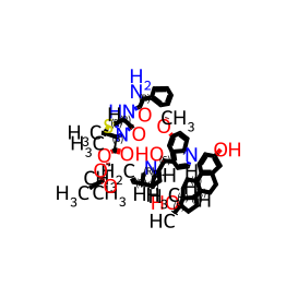 C#C[C@]1(O)CC[C@H]2[C@@H]3CCc4cc(O)ccc4[C@H]3CC[C@@]21C.C=C[C@H]1C[N@]2CC[C@H]1C[C@@H]2[C@@H](O)c1ccnc2ccc(OC)cc12.CC(C)(C)C(=O)OCOC(=O)[C@@H]1N2C(=O)[C@@H](NC(=O)[C@H](N)c3ccccc3)[C@H]2SC1(C)C